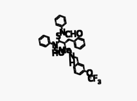 CSN(c1ccccc1)C(SN(C=O)c1ccccc1)[C@@H](Cc1ccccc1)[C@@H](O)CNCc1cccc(OC(F)(F)F)c1